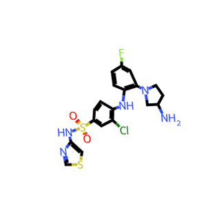 NC1CCN(c2cc(F)ccc2Nc2ccc(S(=O)(=O)Nc3cscn3)cc2Cl)C1